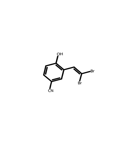 N#Cc1ccc(O)c(C=C(Br)Br)c1